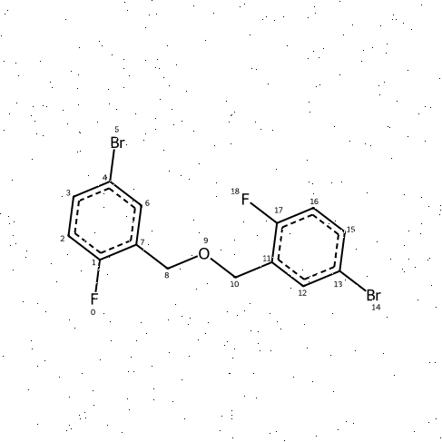 Fc1ccc(Br)cc1COCc1cc(Br)ccc1F